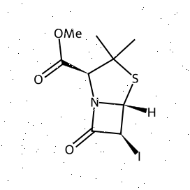 COC(=O)[C@@H]1N2C(=O)[C@H](I)[C@H]2SC1(C)C